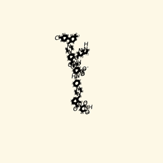 CC1(C)CCC(CN2CCN(c3ccc(C(=O)NS(=O)(=O)c4ccc(NC[C@H]5CC[C@@H](N6CCN(Cc7cccc8c7CN(C7CCC(=O)NC7=O)C8=O)CC6)CC5)c([N+](=O)[O-])c4)c(Oc4cnc5[nH]ccc5c4)c3)CC2)=C(c2ccc(Cl)cc2)C1